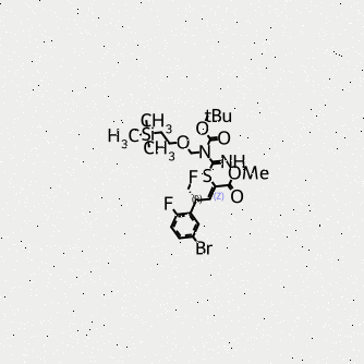 COC(=O)/C(=C/[C@@H](CF)c1cc(Br)ccc1F)SC(=N)N(COCC[Si](C)(C)C)C(=O)OC(C)(C)C